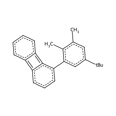 Cc1cc(C(C)(C)C)cc(-c2cccc3c2=c2ccccc2=3)c1C